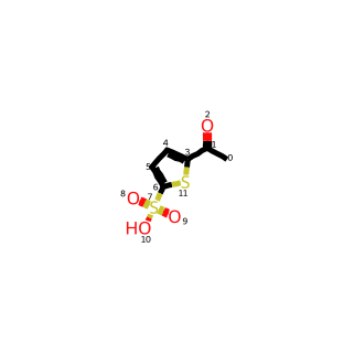 CC(=O)c1ccc(S(=O)(=O)O)s1